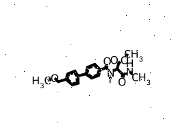 CNC(=O)C(C(=O)OC)N(I)C(=O)c1ccc(-c2ccc(COC)cc2)cc1